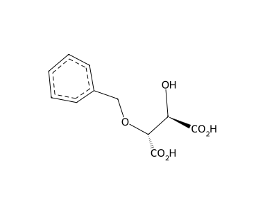 O=C(O)[C@H](O)[C@@H](OCc1ccccc1)C(=O)O